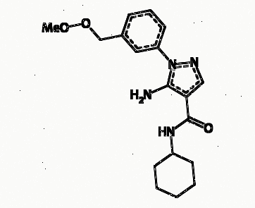 COOCc1cccc(-n2ncc(C(=O)NC3CCCCC3)c2N)c1